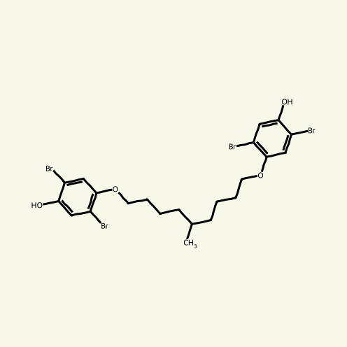 CC(CCCCOc1cc(Br)c(O)cc1Br)CCCCOc1cc(Br)c(O)cc1Br